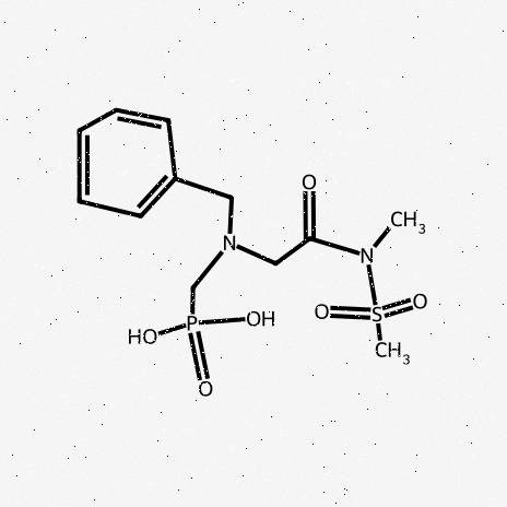 CN(C(=O)CN(Cc1ccccc1)CP(=O)(O)O)S(C)(=O)=O